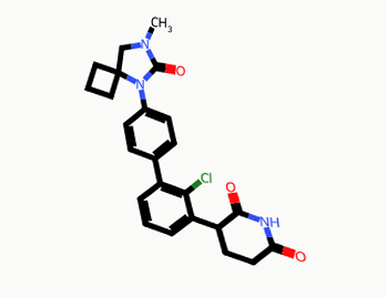 CN1CC2(CCC2)N(c2ccc(-c3cccc(C4CCC(=O)NC4=O)c3Cl)cc2)C1=O